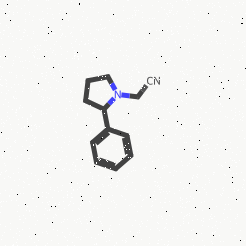 N#CCN1CCCC1c1ccccc1